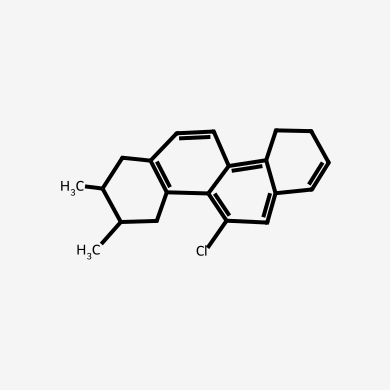 CC1Cc2ccc3c4c(cc(Cl)c3c2CC1C)C=CCC4